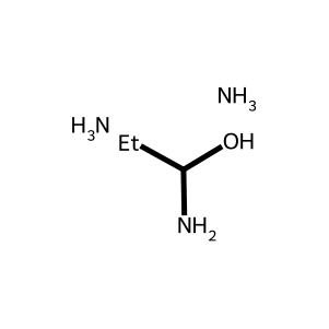 CCC(N)O.N.N